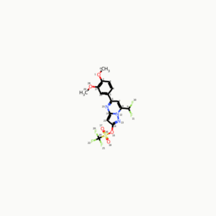 COc1ccc(-c2cc(C(F)F)n3nc(OS(=O)(=O)C(F)(F)F)cc3n2)cc1OC